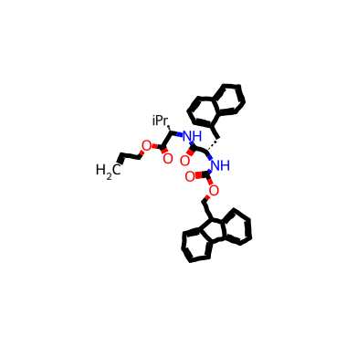 C=CCOC(=O)[C@@H](NC(=O)[C@H](Cc1cccc2ccccc12)NC(=O)OCC1c2ccccc2-c2ccccc21)C(C)C